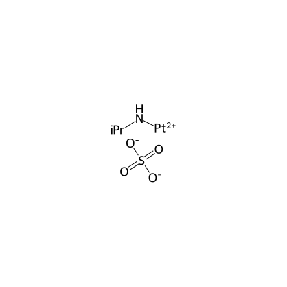 CC(C)[NH][Pt+2].O=S(=O)([O-])[O-]